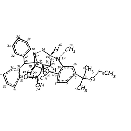 CCSC(C)(C)c1ccc(OC)c(N(C)[C@H]2CN3CC[C@H]2[C@H](C(=O)O)[C@@H]3C(c2ccccc2)c2ccccc2)c1